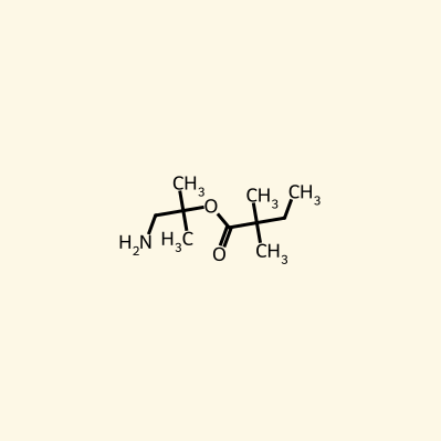 CCC(C)(C)C(=O)OC(C)(C)CN